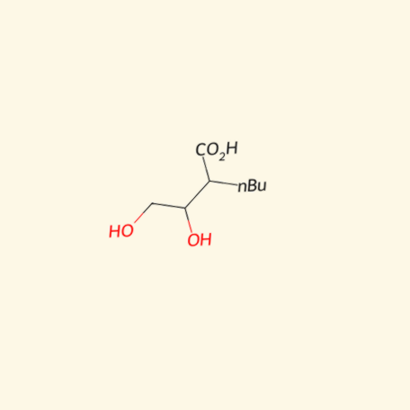 CCCCC(C(=O)O)C(O)CO